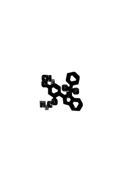 COc1ccc(-c2cc3ccccc3n2S(=O)(=O)c2ccccc2)c(OC)c1